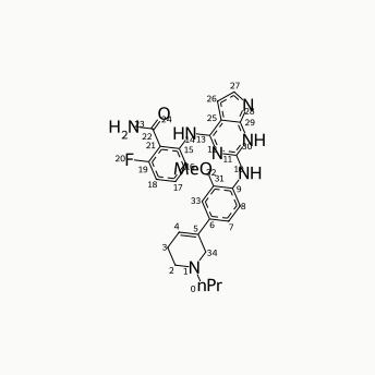 CCCN1CCC=C(c2ccc(Nc3nc(Nc4cccc(F)c4C(N)=O)c4ccnc-4[nH]3)c(OC)c2)C1